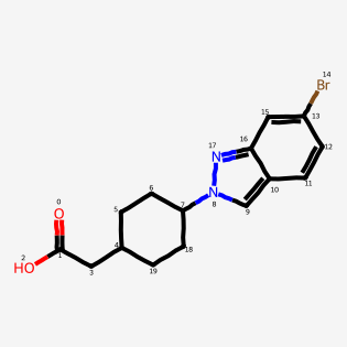 O=C(O)CC1CCC(n2cc3ccc(Br)cc3n2)CC1